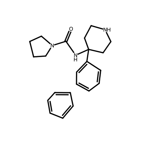 O=C(NC1(c2ccccc2)CCNCC1)N1CCCC1.c1ccccc1